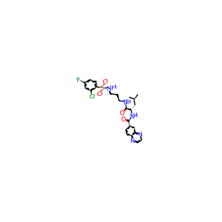 CC(C)C[C@H](NC(=O)c1ccc2nccnc2c1)C(=O)NCCCNS(=O)(=O)c1ccc(F)cc1Cl